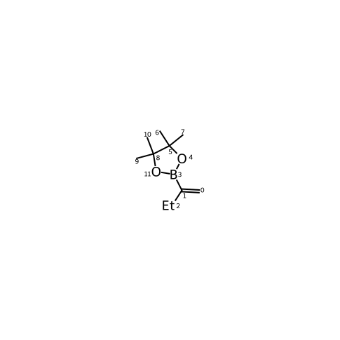 C=C(CC)B1OC(C)(C)C(C)(C)O1